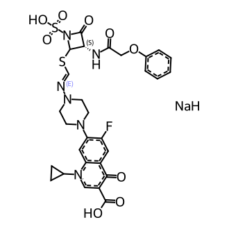 O=C(COc1ccccc1)N[C@H]1C(=O)N(S(=O)(=O)O)C1S/C=N/N1CCN(c2cc3c(cc2F)c(=O)c(C(=O)O)cn3C2CC2)CC1.[NaH]